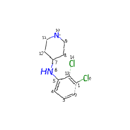 Clc1cccc(NC2CC[N]CC2)c1Cl